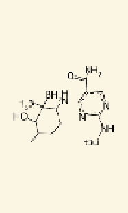 BC1(B)C(Nc2nc(NC(C)(C)C)ncc2C(N)=O)CCC(C)C1O